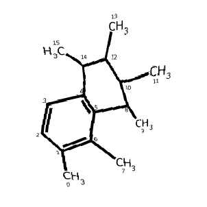 Cc1ccc2c(c1C)C(C)C(C)C(C)C2C